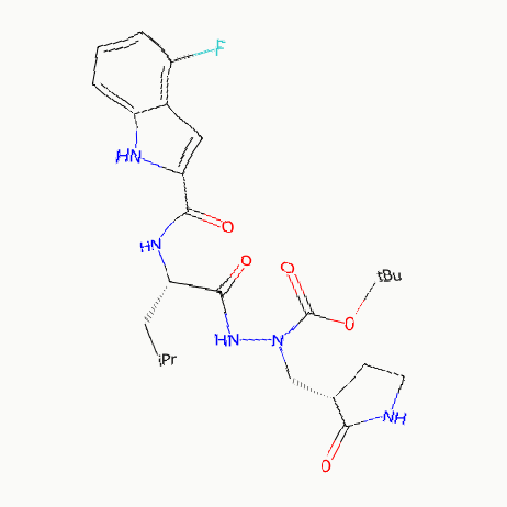 CC(C)C[C@H](NC(=O)c1cc2c(F)cccc2[nH]1)C(=O)NN(C[C@@H]1CCNC1=O)C(=O)OC(C)(C)C